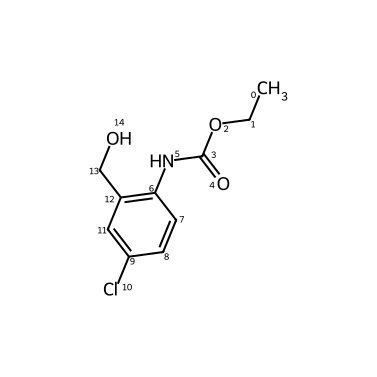 CCOC(=O)Nc1ccc(Cl)cc1CO